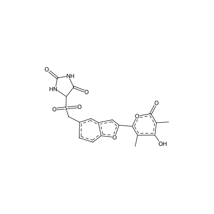 Cc1c(-c2cc3cc(CS(=O)(=O)C4NC(=O)NC4=O)ccc3o2)oc(=O)c(C)c1O